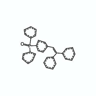 O=P(c1ccccc1)(c1ccccc1)c1ccc(C=C(c2ccccc2)c2ccccc2)cc1